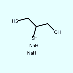 OCC(S)CS.[NaH].[NaH]